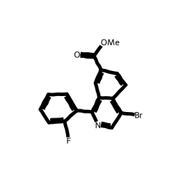 COC(=O)c1ccc2c(Br)cnc(-c3ccccc3F)c2c1